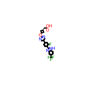 O=C(O)C[C@H]1C[C@@H](Oc2ncc(-c3ccc(-c4nc5cc(C(F)(F)F)ccc5[nH]4)c(F)c3)cn2)C1